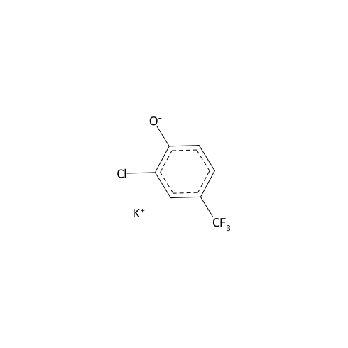 [K+].[O-]c1ccc(C(F)(F)F)cc1Cl